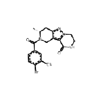 C[C@@H]1Cc2nn3c(c2CN1C(=O)c1ccc(Br)c(C#N)c1)C(=O)NCC3